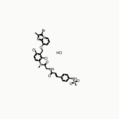 Cc1nc2c(OCc3c(Cl)ccc(N(C)C(=O)CNC(=O)C=Cc4ccc(NS(C)(=O)=O)cc4)c3Cl)cccn2c1Br.Cl